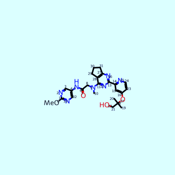 COc1ncc(NC(=O)CN(C)c2nc(-c3cc(OC(C)(C)CO)ccn3)nc3c2CCC3)cn1